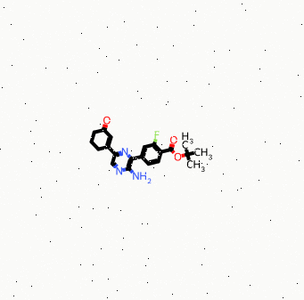 CC(C)(C)OC(=O)c1ccc(-c2nc(C3=CC(=O)CCC3)cnc2N)cc1F